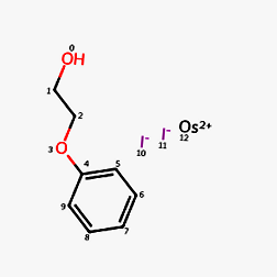 OCCOc1ccccc1.[I-].[I-].[Os+2]